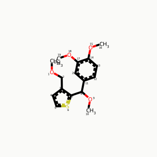 COCc1ccsc1C(OC)c1ccc(OC)c(OC)c1